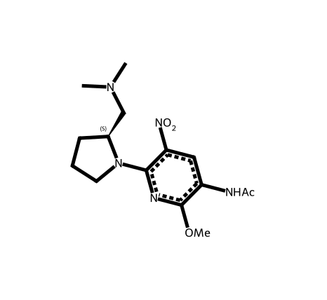 COc1nc(N2CCC[C@H]2CN(C)C)c([N+](=O)[O-])cc1NC(C)=O